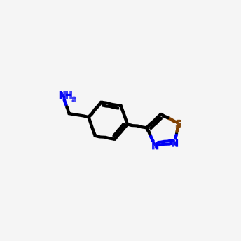 NCC1C=CC(c2csnn2)=CC1